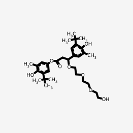 Cc1cc(OC(=O)CC(OCCOCCOCCO)c2cc(C)c(O)c(C(C)(C)C)c2)cc(C(C)(C)C)c1O